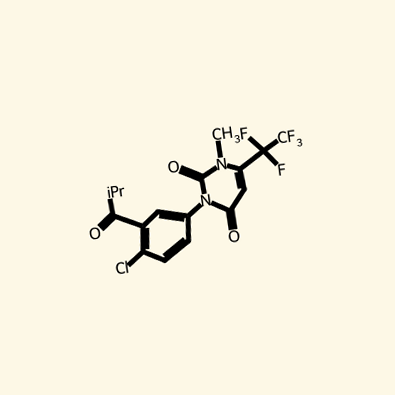 CC(C)C(=O)c1cc(-n2c(=O)cc(C(F)(F)C(F)(F)F)n(C)c2=O)ccc1Cl